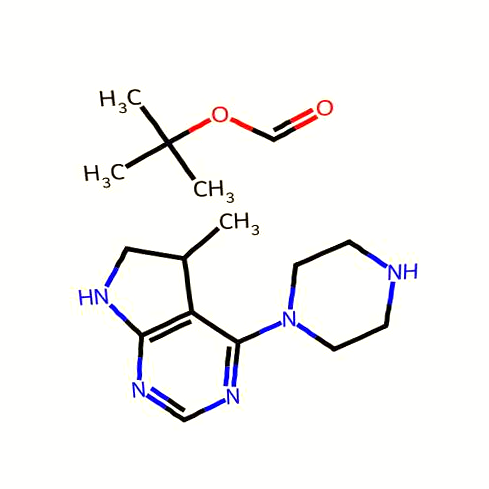 CC(C)(C)OC=O.CC1CNc2ncnc(N3CCNCC3)c21